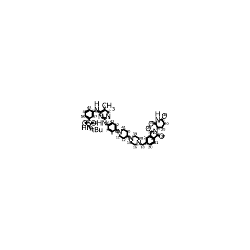 Cc1cnc(Nc2ccc(N3CCC(N4CCN(Cc5ccc6c(c5)C(=O)N(C5CCC(=O)NC5=O)C6=O)CC4)CC3)cc2)nc1Nc1cccc(S(=O)(=O)NC(C)(C)C)c1